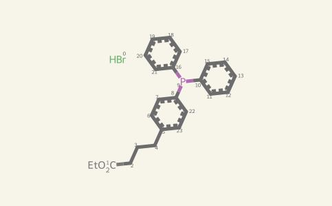 Br.CCOC(=O)CCCc1ccc(P(c2ccccc2)c2ccccc2)cc1